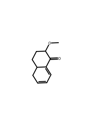 COC1CCC2CC=CC=C2C1=O